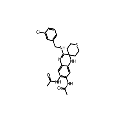 CC(=O)Nc1cc2c(cc1NC(C)=O)NC1(CCSCC1)C(NCc1cccc(Cl)c1)=N2